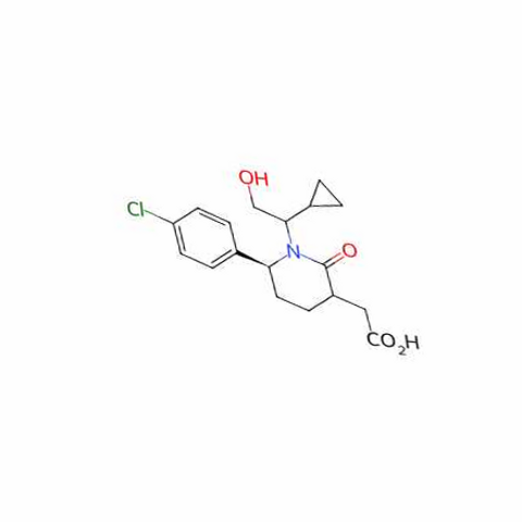 O=C(O)CC1CC[C@@H](c2ccc(Cl)cc2)N(C(CO)C2CC2)C1=O